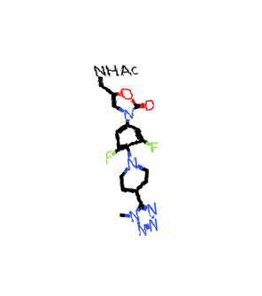 CC(=O)NCC1CN(c2cc(F)c(N3CCC(c4nnnn4C)CC3)c(F)c2)C(=O)O1